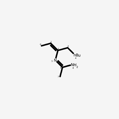 C/C=C(CCCCC)\N=C(\C)N